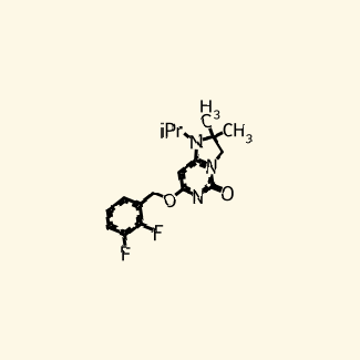 CC(C)N1c2cc(OCc3cccc(F)c3F)nc(=O)n2CC1(C)C